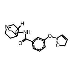 O=C(N[C@H]1CN2CCC1CC2)c1cccc(ON2C=CCO2)c1